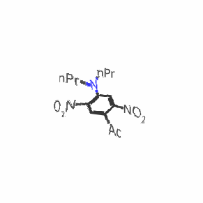 CCCN(CCC)c1cc([N+](=O)[O-])c(C(C)=O)cc1[N+](=O)[O-]